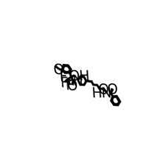 COc1cccc(C(O)(C(=O)N2CCC(CCCCONC(=O)c3ccccc3)CC2)C(F)(F)F)c1